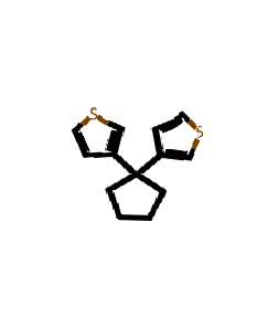 c1cc(C2(c3ccsc3)CCCC2)cs1